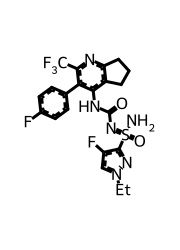 CCn1cc(F)c([S@@](N)(=O)=NC(=O)Nc2c3c(nc(C(F)(F)F)c2-c2ccc(F)cc2)CCC3)n1